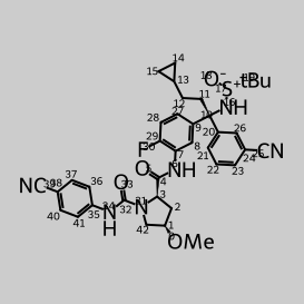 CO[C@@H]1C[C@H](C(=O)Nc2cc([C@](CCC3CC3)(N[S@+]([O-])C(C)(C)C)c3cccc(C#N)c3)ccc2F)N(C(=O)Nc2ccc(C#N)cc2)C1